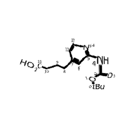 CC(C)(C)OC(=O)Nc1cc(CCCC(=O)O)ccn1